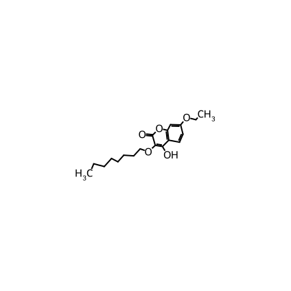 CCCCCCCCOc1c(O)c2ccc(OCC)cc2oc1=O